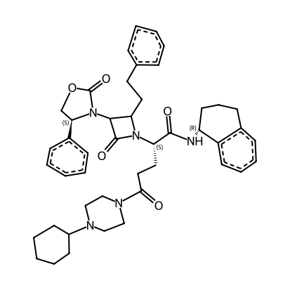 O=C(N[C@@H]1CCCc2ccccc21)[C@H](CCC(=O)N1CCN(C2CCCCC2)CC1)N1C(=O)C(N2C(=O)OC[C@@H]2c2ccccc2)C1CCc1ccccc1